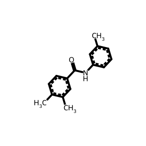 Cc1cccc(NC(=O)c2ccc(C)c(C)c2)c1